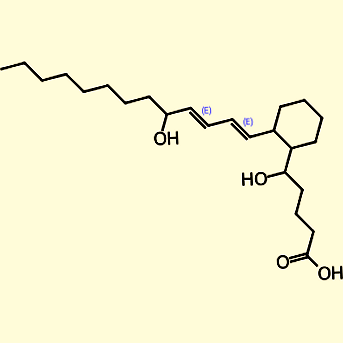 CCCCCCCCC(O)/C=C/C=C/C1CCCCC1C(O)CCCC(=O)O